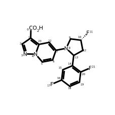 O=C(O)c1cnn2ccc(N3C[C@H](F)CC3c3cc(F)ccc3F)cc12